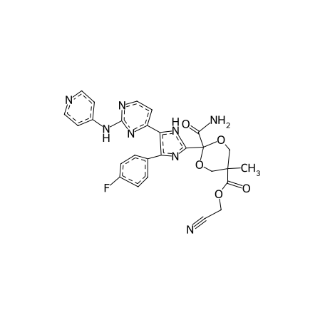 CC1(C(=O)OCC#N)COC(C(N)=O)(c2nc(-c3ccc(F)cc3)c(-c3ccnc(Nc4ccncc4)n3)[nH]2)OC1